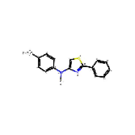 CCOC(=O)c1ccc(N(C(C)=O)c2csc(-c3ccccc3)n2)cc1